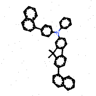 CC1(C)c2cc(-c3cccc4ccccc34)ccc2-c2ccc(N(c3ccccc3)c3ccc(-c4cccc5ccccc45)cc3)cc21